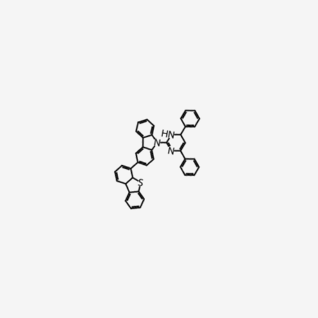 C1=CC2c3ccccc3SC2C(c2ccc3c(c2)c2ccccc2n3C2=NC(c3ccccc3)=CC(c3ccccc3)N2)=C1